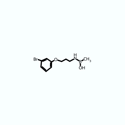 CB(O)NCCCOc1cccc(Br)c1